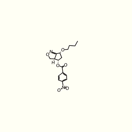 CCCCO[C@@H]1C[C@H](OC(=O)c2ccc([N+](=O)[O-])cc2)[C@H]2CON=C12